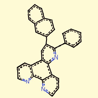 c1ccc(-c2nc3c(cc2-c2ccc4ccccc4c2)c2cccnc2c2ncccc32)cc1